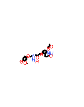 COc1ccc(OCCNCC(O)COc2ccc(OCC(C)=O)c3c2CCC(=O)N3)cc1OC